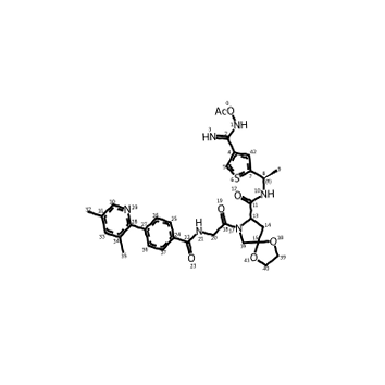 CC(=O)ONC(=N)c1csc([C@@H](C)NC(=O)C2CC3(CN2C(=O)CNC(=O)c2ccc(-c4ncc(C)cc4C)cc2)OCCO3)c1